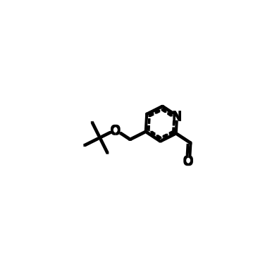 CC(C)(C)OCc1ccnc(C=O)c1